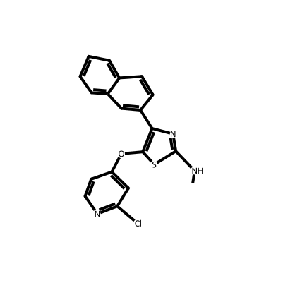 CNc1nc(-c2ccc3ccccc3c2)c(Oc2ccnc(Cl)c2)s1